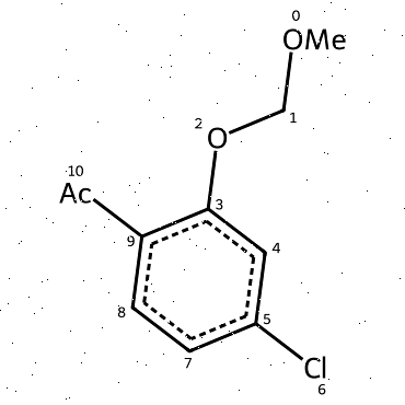 COCOc1cc(Cl)ccc1C(C)=O